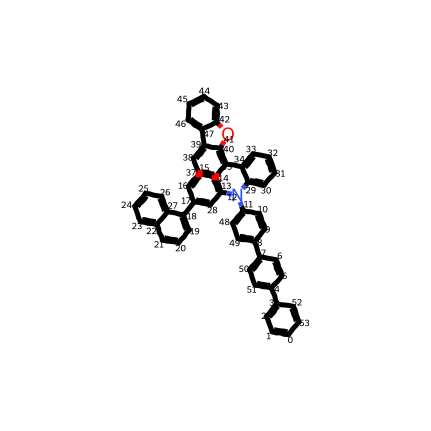 c1ccc(-c2ccc(-c3ccc(N(c4cccc(-c5cccc6ccccc56)c4)c4ccccc4-c4cccc5c4oc4ccccc45)cc3)cc2)cc1